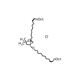 CCCCCCCC/C=C\CCCCCCCCOC[C@@H](C[N+](C)(C)C)OCCCCCCCC/C=C\CCCCCCCC.[Cl-]